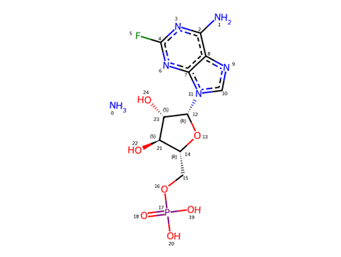 N.Nc1nc(F)nc2c1ncn2[C@@H]1O[C@H](COP(=O)(O)O)[C@@H](O)[C@@H]1O